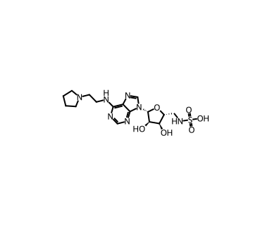 O=S(=O)(O)NC[C@H]1O[C@@H](n2cnc3c(NCCN4CCCC4)ncnc32)[C@H](O)[C@@H]1O